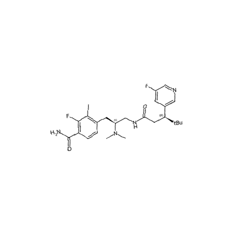 Cc1c(C[C@@H](CNC(=O)C[C@@H](c2cncc(F)c2)C(C)(C)C)N(C)C)ccc(C(N)=O)c1F